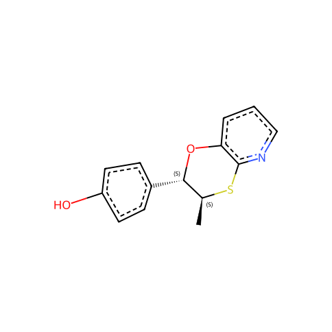 C[C@@H]1Sc2ncccc2O[C@H]1c1ccc(O)cc1